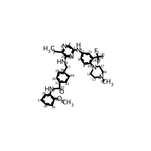 CCc1ncc(Nc2ccc(N3CCN(C)CC3)c(C(F)(F)F)c2)nc1NCc1ccc(C(=O)Nc2ccccc2OC)cc1